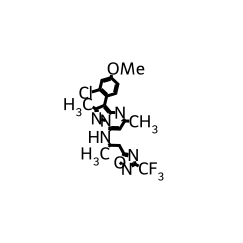 COc1ccc(-c2c(C)nn3c(N[C@H](C)Cc4nc(C(F)(F)F)no4)cc(C)nc23)c(Cl)c1